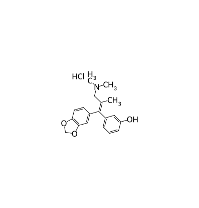 CC(CN(C)C)=C(c1cccc(O)c1)c1ccc2c(c1)OCO2.Cl